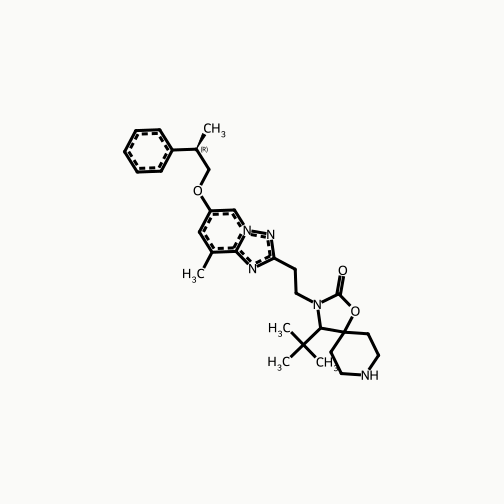 Cc1cc(OC[C@H](C)c2ccccc2)cn2nc(CCN3C(=O)OC4(CCNCC4)C3C(C)(C)C)nc12